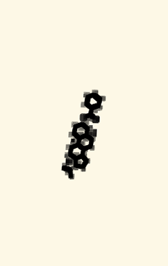 C=C(C)[C@H]1CCC2C3CC[C@@H]4C[C@@H](OC(=O)c5ccccc5)CC[C@]4(C)C3CC[C@@H]21